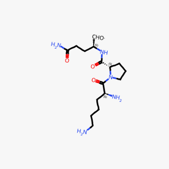 NCCCC[C@H](N)C(=O)N1CCC[C@H]1C(=O)N[C@H]([C]=O)CCC(N)=O